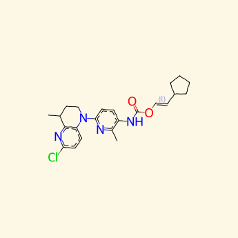 Cc1nc(N2CCC(C)c3nc(Cl)ccc32)ccc1NC(=O)O/C=C/C1CCCC1